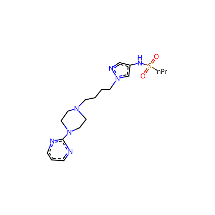 CCCS(=O)(=O)Nc1cnn(CCCCN2CCN(c3ncccn3)CC2)c1